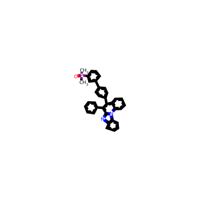 CP(C)(=O)c1cccc(-c2ccc(-c3c(-c4ccccc4)c4nc5ccccc5n4c4ccccc34)cc2)c1